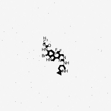 COC(=O)Nc1ccc2c(-c3nc(N[C@H]4CCC5(CC5)NC4)ncc3C(F)(F)F)c[nH]c2c1Br